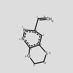 C=Cc1cc2c(nn1)OCCS2